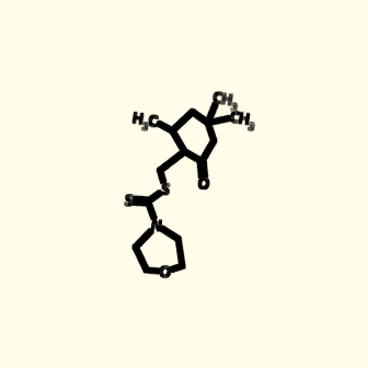 CC1CC(C)(C)CC(=O)C1CSC(=S)N1CCOCC1